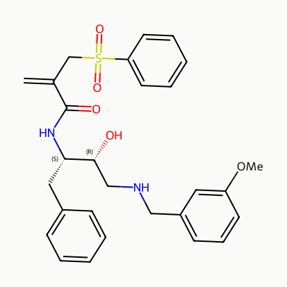 C=C(CS(=O)(=O)c1ccccc1)C(=O)N[C@@H](Cc1ccccc1)[C@H](O)CNCc1cccc(OC)c1